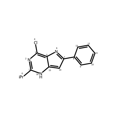 CC(C)c1nc(Cl)c2nc(-c3ccccc3)cc-2[nH]1